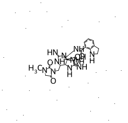 CN1CC(=O)N(CC2NC(=N)N3CC(NC(=O)c4cccc5c4NCC5)C(O)(O)C34NC(=N)NC24)C1=O